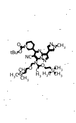 CC(OCC[Si](C)(C)C)N(COCC[Si](C)(C)C)c1c(C#N)c(C2CCCN(C(=O)OC(C)(C)C)C2)nc2c(-c3cnn(C)c3)cnn12